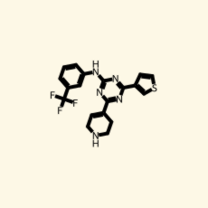 FC(F)(F)c1cccc(Nc2nc(C3=CCNCC3)nc(-c3ccsc3)n2)c1